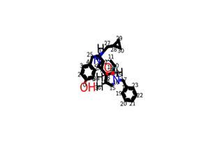 Oc1ccc2c(c1)[C@@]13[C@H]4[C@H]5CC[C@@]1(O[C@@H]4CN5Cc1ccccc1)[C@@H](C2)N(CC1CC1)C[C@H]3F